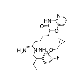 CC[C@@H](CN(N)/C(=C\N)CCCCC1Oc2cccnc2NC1=O)c1ccc(F)c(OCC2CC2)c1